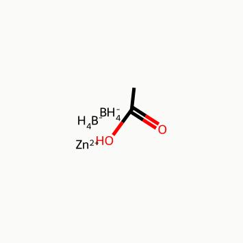 CC(=O)O.[BH4-].[BH4-].[Zn+2]